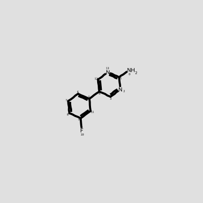 Nc1ncc(-c2cccc(F)c2)cn1